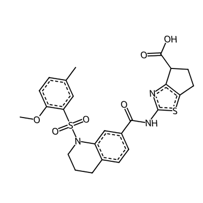 COc1ccc(C)cc1S(=O)(=O)N1CCCc2ccc(C(=O)Nc3nc4c(s3)CCC4C(=O)O)cc21